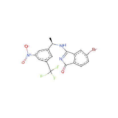 C[C@@H](NC1=NC(=O)c2ccc(Br)cc21)c1cc([N+](=O)[O-])cc(C(F)(F)F)c1